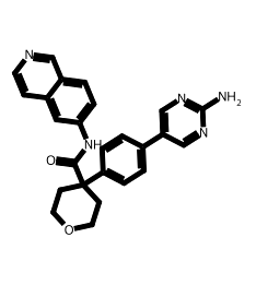 Nc1ncc(-c2ccc(C3(C(=O)Nc4ccc5cnccc5c4)CCOCC3)cc2)cn1